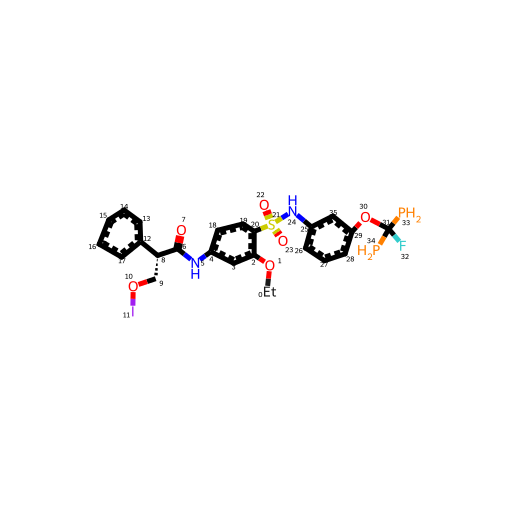 CCOc1cc(NC(=O)[C@H](COI)c2ccccc2)ccc1S(=O)(=O)Nc1cccc(OC(F)(P)P)c1